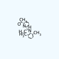 CC(=O)c1cccc(C(C)Nc2c(C)cccc2C)n1